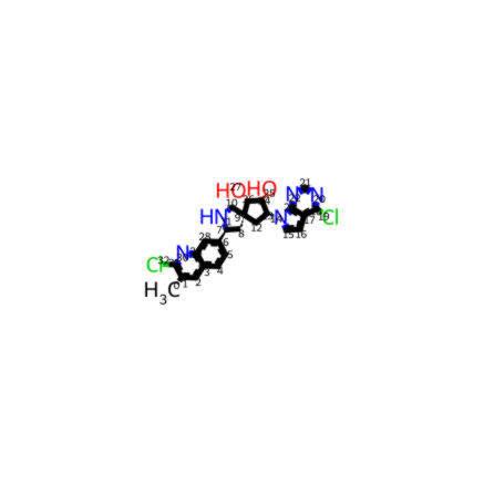 Cc1cc2ccc([C@@H]3C[C@@]4(CN3)C[C@@H](n3ccc5c(Cl)ncnc53)[C@H](O)[C@@H]4O)cc2nc1Cl